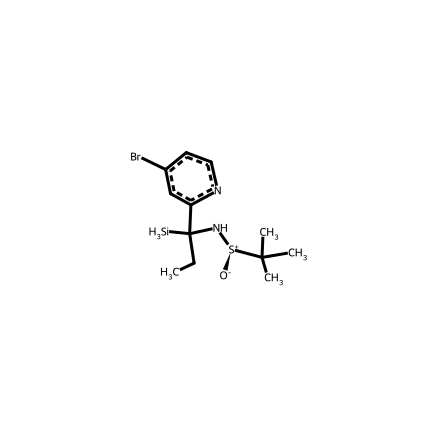 CCC([SiH3])(N[S@+]([O-])C(C)(C)C)c1cc(Br)ccn1